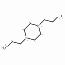 C[CH]CN1CCN(C[CH]C)CC1